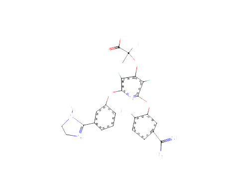 CN1CCN=C1c1cccc(Oc2nc(Oc3cc(C(=N)N)ccc3O)c(F)c(OC(C)(C)C(=O)O)c2F)c1